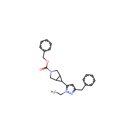 CCn1nc(Cc2ccccc2)cc1C1C2CN(C(=O)OCc3ccccc3)CC21